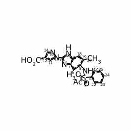 CC(=O)S(C)(=O)(Nc1cc2nc(-n3cc(C(=O)O)cn3)[nH]c2cc1C)c1ccccc1